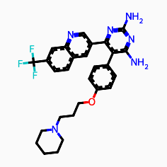 Nc1nc(N)c(-c2ccc(OCCCN3CCCCC3)cc2)c(-c2cnc3cc(C(F)(F)F)ccc3c2)n1